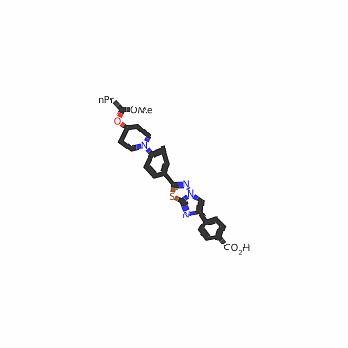 CCCC(OC)OC1CCN(c2ccc(-c3nn4cc(-c5ccc(C(=O)O)cc5)nc4s3)cc2)CC1